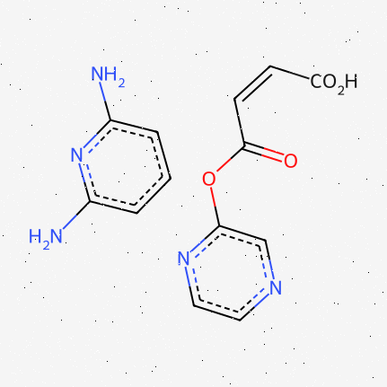 Nc1cccc(N)n1.O=C(O)/C=C\C(=O)Oc1cnccn1